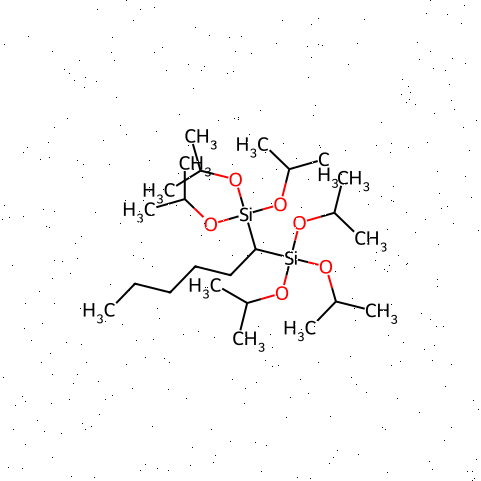 CCCCCC([Si](OC(C)C)(OC(C)C)OC(C)C)[Si](OC(C)C)(OC(C)C)OC(C)C